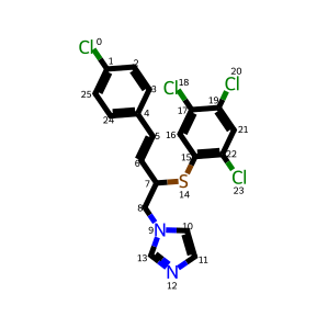 Clc1ccc(/C=C/C(Cn2ccnc2)Sc2cc(Cl)c(Cl)cc2Cl)cc1